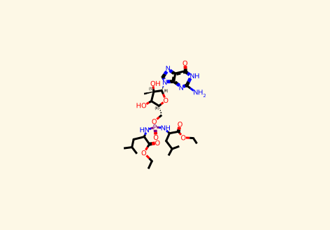 CCOC(=O)C(CC(C)C)NP(=O)(NC(CC(C)C)C(=O)OCC)OC[C@H]1O[C@@H](n2cnc3c(=O)[nH]c(N)nc32)[C@@](C)(O)C1O